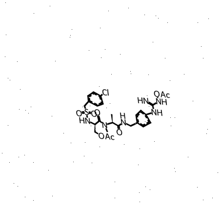 CC(=O)OC[C@@H](NS(=O)(=O)Cc1ccc(Cl)cc1)C(=O)N(C)[C@@H](C)C(=O)NCc1ccc(NC(=N)NOC(C)=O)cc1